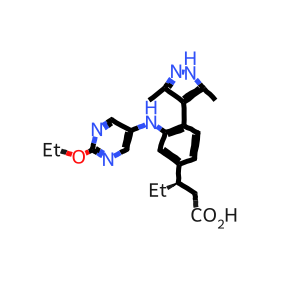 CCOc1ncc(Nc2cc([C@H](CC)CC(=O)O)ccc2-c2c(C)n[nH]c2C)cn1